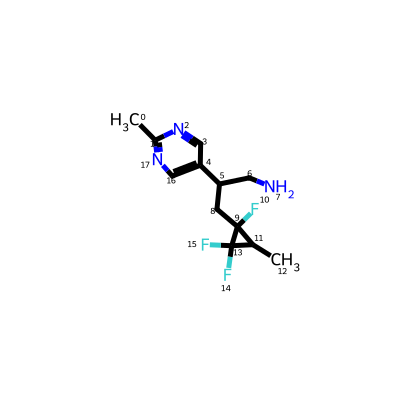 Cc1ncc(C(CN)CC2(F)C(C)C2(F)F)cn1